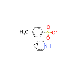 Cc1ccc(S(=O)(=O)[O-])cc1.[C+]1=CCNC=C1